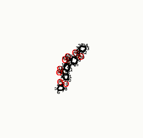 O=S(=O)(c1ccccc1)c1ccc2c(c1)S(=O)(=O)c1cc3c(cc1-2)-c1ccc(S(=O)(=O)c2ccccc2)cc1S3(=O)=O